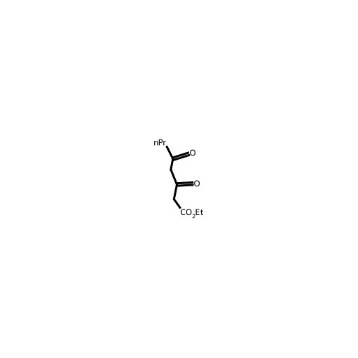 CCCC(=O)CC(=O)CC(=O)OCC